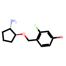 N[C@H]1CCC[C@@H]1OCc1ccc(Br)cc1F